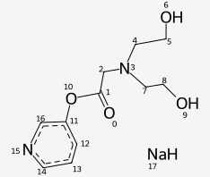 O=C(CN(CCO)CCO)Oc1cccnc1.[NaH]